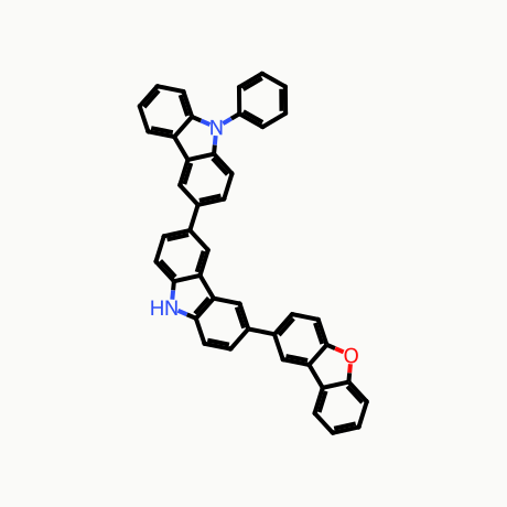 c1ccc(-n2c3ccccc3c3cc(-c4ccc5[nH]c6ccc(-c7ccc8oc9ccccc9c8c7)cc6c5c4)ccc32)cc1